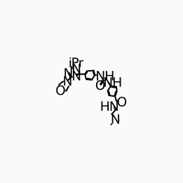 CC(C)c1nc(-c2ccc(NC(=O)Nc3ccc(C(=O)NCCN(C)C)cc3)cc2)nc(N2CCOCC2)n1